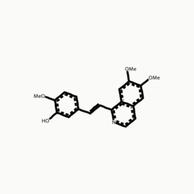 COc1ccc(C=Cc2nccc3cc(OC)c(OC)cc23)cc1O